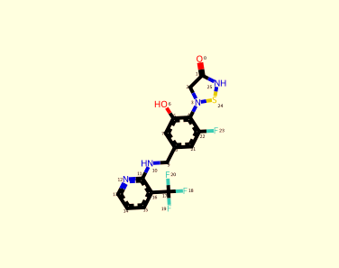 O=C1CN(c2c(O)cc(CNc3ncccc3C(F)(F)F)cc2F)SN1